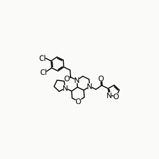 O=C(CN1CCN(C(=O)Cc2ccc(Cl)c(Cl)c2)C2C(N3CCCC3)COCC21)c1ccon1